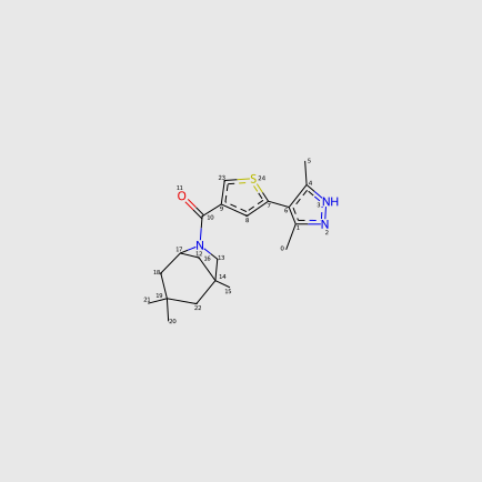 Cc1n[nH]c(C)c1-c1cc(C(=O)N2CC3(C)CC2CC(C)(C)C3)cs1